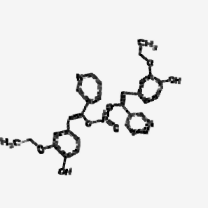 CCOc1cc(C=C(O[PH](=O)OC(=Cc2ccc(O)c(OCC)c2)c2cccnc2)c2cccnc2)ccc1O